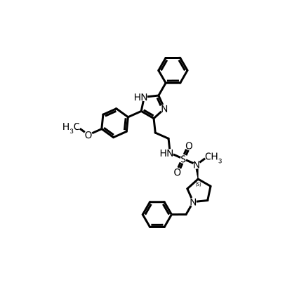 COc1ccc(-c2[nH]c(-c3ccccc3)nc2CCNS(=O)(=O)N(C)[C@H]2CCN(Cc3ccccc3)C2)cc1